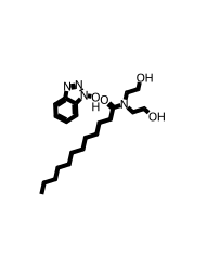 CCCCCCCCCCCC(=O)N(CCO)CCO.On1nnc2ccccc21